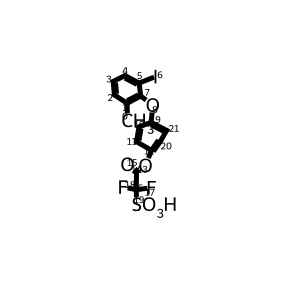 Cc1cccc(I)c1Oc1ccc(OC(=O)C(F)(F)S(=O)(=O)O)cc1